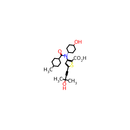 CC1CCC(C(=O)N(c2cc(C#CC(C)(C)O)sc2C(=O)O)[C@H]2CC[C@H](O)CC2)CC1